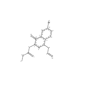 COC(=O)Cn1nc(CC=O)c2ccc(Br)cc2c1=O